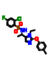 CCn1c(C(C)NS(=O)(=O)c2ccc(F)cc2Cl)cnc1Oc1ccc(C)cc1